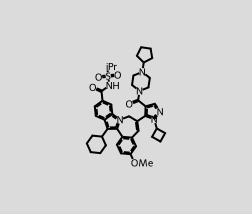 COc1ccc2c(c1)C=C(c1c(C(=O)N3CCN(C4CCCC4)CC3)cnn1C1CCC1)Cn1c-2c(C2CCCCC2)c2ccc(C(=O)NS(=O)(=O)C(C)C)cc21